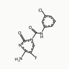 Nc1nc(=O)n(C(=O)Nc2cccc(Cl)c2)cc1F